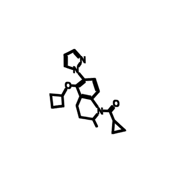 CC1CCc2c(ccc(-n3cccn3)c2OC2CCC2)N1C(=O)C1CC1